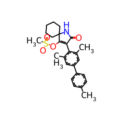 Cc1ccc(-c2cc(C)c(C3=C(OS(C)(=O)=O)C4(CCCCC4)NC3=O)c(C)c2)cc1